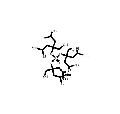 CCCCC(CC)CC(CO)(CC(CC)CCCC)OP(=O)(OC(CO)(CC(CC)CCCC)CC(CC)CCCC)OC(CO)(CC(CC)CCCC)CC(CC)CCCC